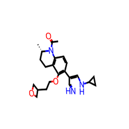 CC(=O)N1c2ccc(/C(C=N)=C/NC3CC3)c(OCCC3COC3)c2CC[C@@H]1C